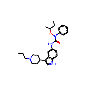 CCCN1CCC(c2c[nH]c3ccc(NC(=O)N(OC(C)CC)c4ccccc4)cc23)CC1